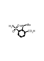 CCCCNc1c(C(=O)O)cccc1S(N)(=O)=O